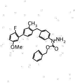 COc1ccc(F)c(-c2ccc(Cc3ccc(N(N)C(=O)OCc4ccccc4)cc3)c(C)c2)c1